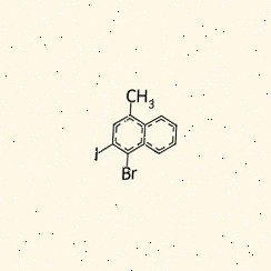 Cc1cc(I)c(Br)c2ccccc12